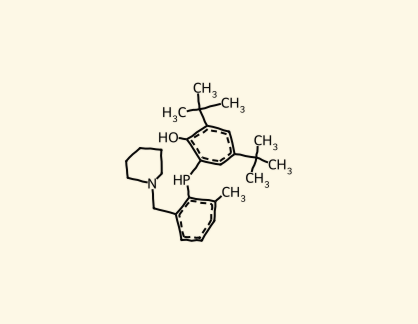 Cc1cccc(CN2CCCCC2)c1Pc1cc(C(C)(C)C)cc(C(C)(C)C)c1O